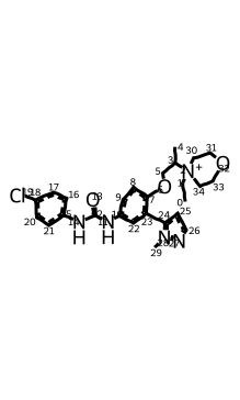 CC[N+]1(C(C)COc2ccc(NC(=O)Nc3ccc(Cl)cc3)cc2-c2ccnn2C)CCOCC1